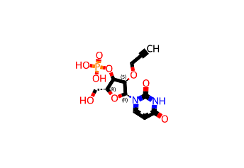 C#CCO[C@H]1C(OP(=O)(O)O)[C@@H](CO)O[C@H]1n1ccc(=O)[nH]c1=O